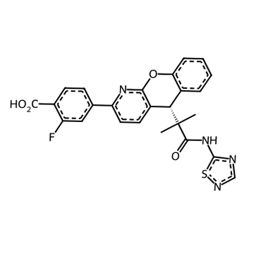 CC(C)(C(=O)Nc1ncns1)[C@H]1c2ccccc2Oc2nc(-c3ccc(C(=O)O)c(F)c3)ccc21